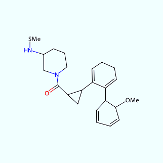 COC1C=CC=CC1C1=CCCC=C1C1CC1C(=O)N1CCCC(NSC)C1